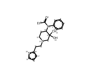 CCC(=O)N(c1ccccc1)C1CCN(CCc2cccs2)CC1(C)O